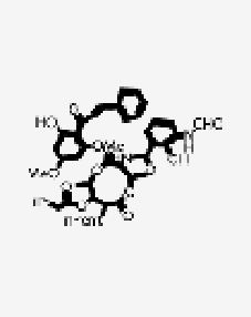 CCCCCC1C(=O)OC(C)C(NC(=O)c2cccc(NC=O)c2O)C(=O)OC(C)C1OC(=O)CC(C)C.COc1cc(O)c(C(=O)C=Cc2ccccc2)c(OC)c1